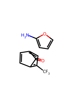 Nc1ccco1.O=C1C2=CC(C(F)(F)F)=C1C=C2